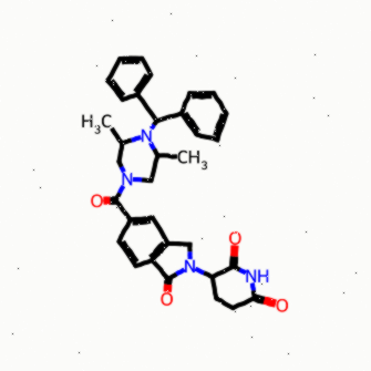 CC1CN(C(=O)c2ccc3c(c2)CN(C2CCC(=O)NC2=O)C3=O)CC(C)N1C(c1ccccc1)c1ccccc1